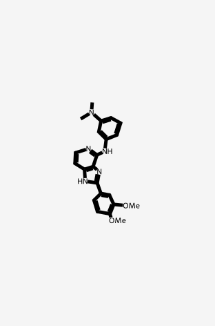 COc1ccc(-c2nc3c(Nc4cccc(N(C)C)c4)nccc3[nH]2)cc1OC